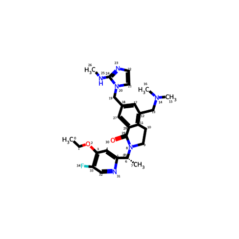 CCOc1cc([C@@H](C)N2CCc3c(CN(C)C)cc(Cn4ccnc4NC)cc3C2=O)ncc1F